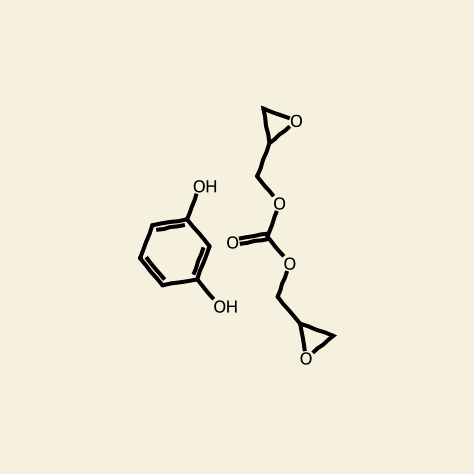 O=C(OCC1CO1)OCC1CO1.Oc1cccc(O)c1